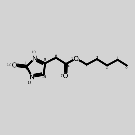 CCCCCOC(=O)CC1=NC(=O)N=C1